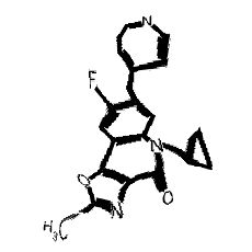 Cc1nc2c(=O)n(C3CC3)c3cc(-c4ccncc4)c(F)cc3c2o1